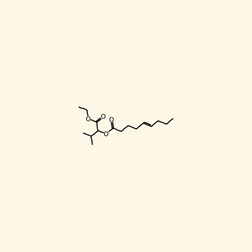 CCC/C=C/CCCC(=O)OC(C(=O)OCC)C(C)C